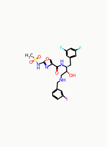 CS(=O)(=O)Nc1nc(C(=O)N[C@@H](Cc2cc(F)cc(F)c2)[C@@H](O)CNCc2cccc(I)c2)co1